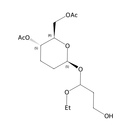 CCOC(CCO)O[C@H]1CC[C@H](OC(C)=O)[C@@H](COC(C)=O)O1